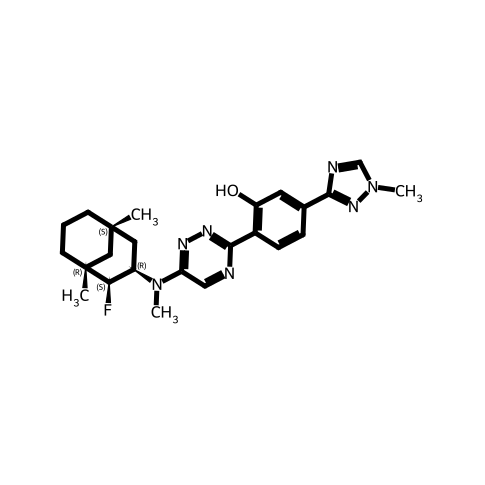 CN(c1cnc(-c2ccc(-c3ncn(C)n3)cc2O)nn1)[C@@H]1C[C@@]2(C)CCC[C@](C)(C2)[C@@H]1F